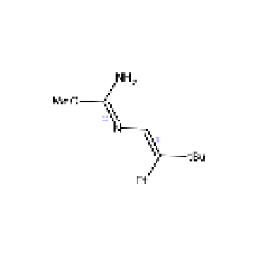 CC/C(=C\N=C(/N)OC)C(C)(C)C